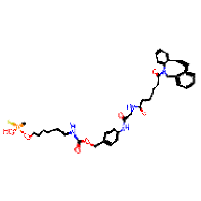 CP(O)(=S)OCCCCCCNC(=O)OCc1ccc(NC(=O)CNC(=O)CCCCC(=O)N2Cc3ccccc3C#Cc3ccccc32)cc1